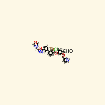 Cc1c(-c2nnc(CN3CCOCC3)o2)cccc1-c1cccc(COc2cc(OCc3cccnc3)c(C=O)cc2Cl)c1Br